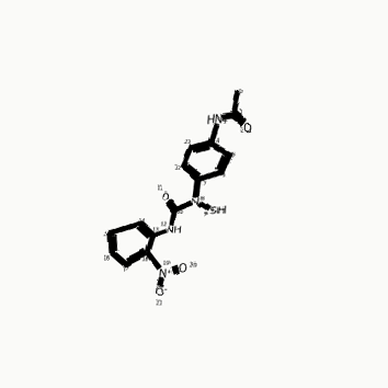 CC(=O)Nc1ccc(N(S)C(=O)Nc2ccccc2[N+](=O)[O-])cc1